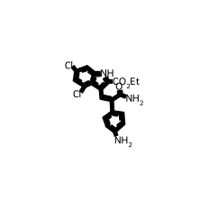 CCOC(=O)c1[nH]c2cc(Cl)cc(Cl)c2c1C=C(C(N)=O)c1ccc(N)cc1